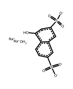 O.O=S(=O)([O-])c1ccc2c(O)cc(S(=O)(=O)[O-])cc2c1.[Na+].[Na+]